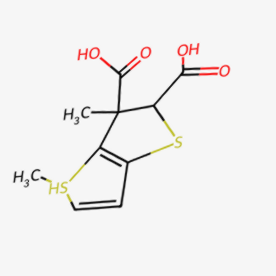 C[SH]1C=CC2=C1C(C)(C(=O)O)C(C(=O)O)S2